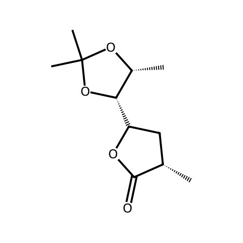 C[C@H]1CC([C@@H]2OC(C)(C)O[C@@H]2C)OC1=O